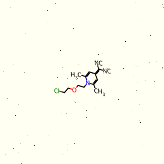 [C-]#[N+]C([N+]#[C-])=C1C=C(C)N(CCOCCCl)C(C)=C1